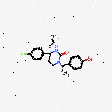 C=CC[C@@]1(c2ccc(F)cc2)CCN([C@@H](C)c2ccc(Br)cc2)C(=O)N1